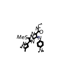 C=C=NC(=O)C1=Nn2c(nc(-c3cc(C)n(C)n3)c2SC)/C1=N\c1ccc(N(C)C)cc1